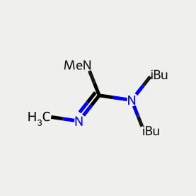 CCC(C)N(C(=NC)NC)C(C)CC